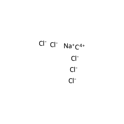 [C+4].[Cl-].[Cl-].[Cl-].[Cl-].[Cl-].[Na+]